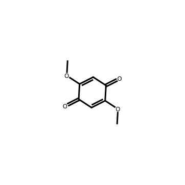 COC1=CC(=O)C(OC)=CC1=O